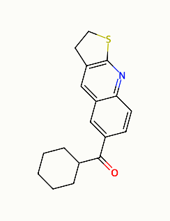 O=C(c1ccc2nc3c(cc2c1)CCS3)C1CCCCC1